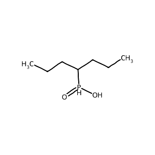 CCCC(CCC)[PH](=O)O